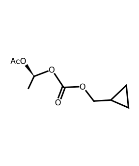 CC(=O)O[C@H](C)OC(=O)OCC1CC1